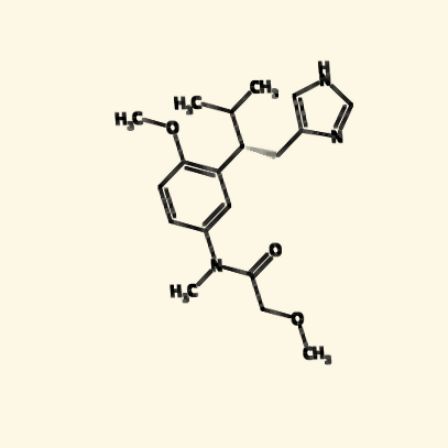 COCC(=O)N(C)c1ccc(OC)c([C@@H](Cc2c[nH]cn2)C(C)C)c1